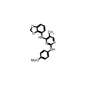 COc1ccc(Nc2ncc(C)c(Nc3cccc4c3OCO4)n2)cc1